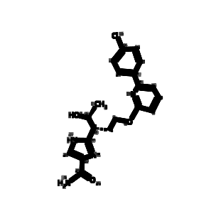 C[C@H](O)[C@H](CCOc1cccc(-c2ccc(Cl)cc2)n1)c1nc(C(N)=O)c[nH]1